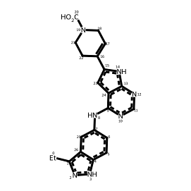 CCc1n[nH]c2ccc(Nc3ncnc4[nH]c(C5=CCN(C(=O)O)CC5)cc34)cc12